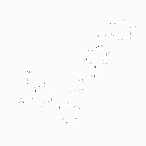 N=Cc1ccc(-c2ccncc2/C=C/C(=O)Nc2ccc(CN3CCOCC3)cc2)cc1N